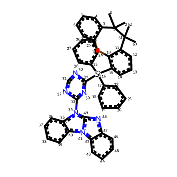 CC1(C)c2ccccc2Sc2c(cccc2[Si](c2ccccc2)(c2ccccc2)c2ncnc(-n3c4ccccc4n4c5ccccc5nc34)n2)C1(C)C